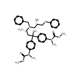 COC(=O)N(C)c1ccc(C(O)(C[C@H](C)N(Cc2ccccc2)C[C@H](O)COc2ccccc2)c2ccc(N(C)C(=O)OC)cc2)cc1